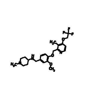 COc1cc(CNC2CCN(C)CC2)ccc1OCc1nccc(OCC(F)(F)F)c1C